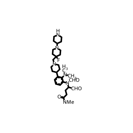 CNC(=O)CCC(C=O)N(C=O)c1cccc(C2CCN(CC3(F)CCN(C4CCNCC4)CC3)CC2)c1N(C)C